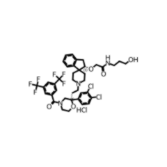 Cl.O=C(CO[C@H]1Cc2ccccc2C12CCN(CC[C@@]1(c3ccc(Cl)c(Cl)c3)CN(C(=O)c3cc(C(F)(F)F)cc(C(F)(F)F)c3)CCO1)CC2)NCCCO